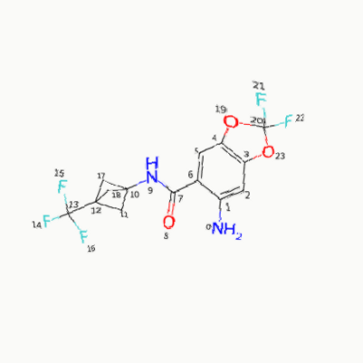 Nc1cc2c(cc1C(=O)NC13CC(C(F)(F)F)(C1)C3)OC(F)(F)O2